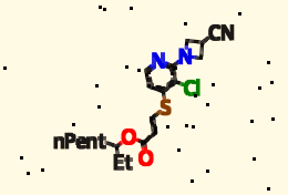 CCCCCC(CC)OC(=O)C=CSc1ccnc(N2CC(C#N)C2)c1Cl